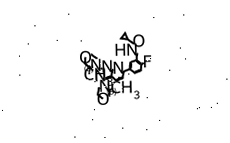 C[C@H]1COCCN1c1nc(N2CCOC[C@@H]2C)c2ccc(-c3ccc(F)c(CNC(=O)C4CC4)c3)nc2n1